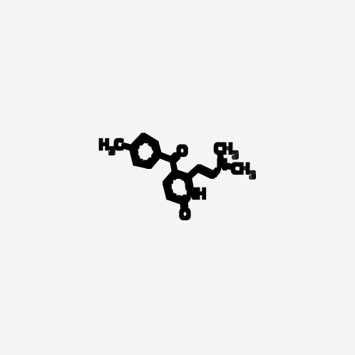 Cc1ccc(C(=O)c2ccc(=O)[nH]c2/C=C/N(C)C)cc1